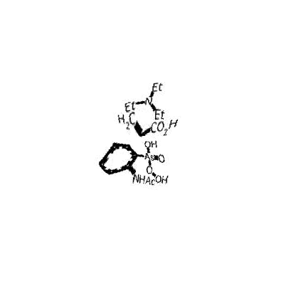 C=CC(=O)O.CC(=O)Nc1ccccc1[As](=O)(O)OO.CCN(CC)CC